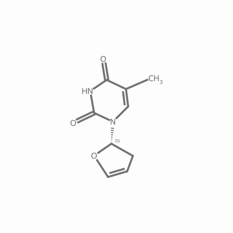 Cc1cn([C@@H]2CC=CO2)c(=O)[nH]c1=O